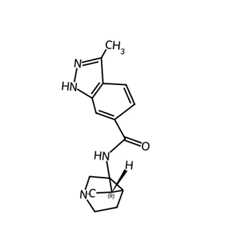 Cc1n[nH]c2cc(C(=O)N[C@H]3CN4CCC3CC4)ccc12